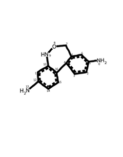 Nc1ccc2c(c1)CONc1cc(N)ccc1-2